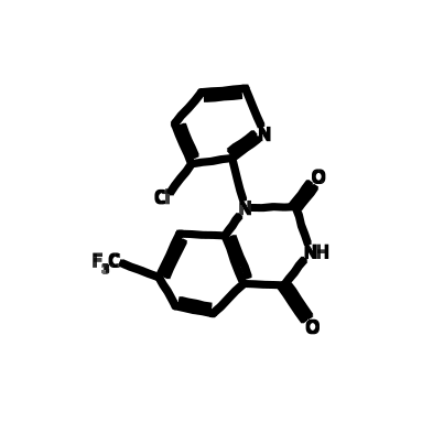 O=c1[nH]c(=O)n(-c2ncccc2Cl)c2cc(C(F)(F)F)ccc12